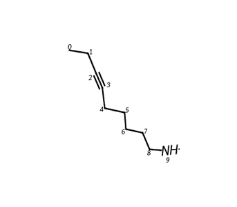 CCC#CCCCCC[NH]